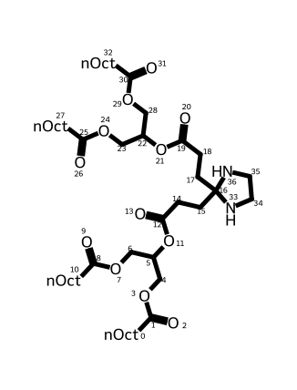 CCCCCCCCC(=O)OCC(COC(=O)CCCCCCCC)OC(=O)CCC1(CCC(=O)OC(COC(=O)CCCCCCCC)COC(=O)CCCCCCCC)NCCN1